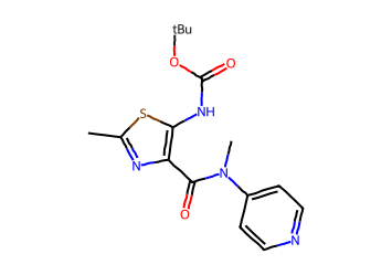 Cc1nc(C(=O)N(C)c2ccncc2)c(NC(=O)OC(C)(C)C)s1